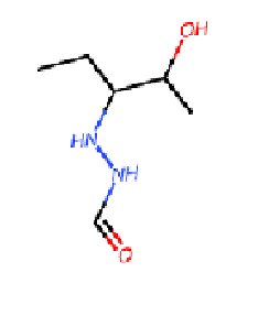 CCC(NNC=O)C(C)O